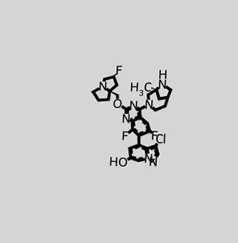 C[C@]12CC(CCN(c3nc(OC[C@@]45CCCN4C[C@H](F)C5)nc4c(F)c(-c5cc(O)cn6ncc(Cl)c56)c(F)cc34)C1)CN2